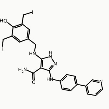 NC(=O)c1c(Nc2ccc(-c3cccnc3)cc2)n[nH]c1NCc1cc(CI)c(O)c(CI)c1